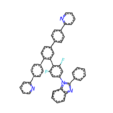 Fc1cc(-n2c(-c3ccccc3)nc3ccccc32)cc(F)c1-c1cc(-c2ccc(-c3ccccn3)cc2)ccc1-c1ccc(-c2ccccn2)cc1